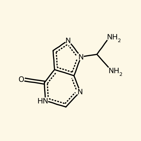 NC(N)n1ncc2c(=O)[nH]cnc21